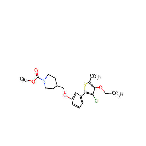 CC(C)(C)OC(=O)N1CCC(COc2cccc(-c3sc(C(=O)O)c(OCC(=O)O)c3Cl)c2)CC1